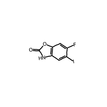 O=c1[nH]c2cc(I)c(F)cc2o1